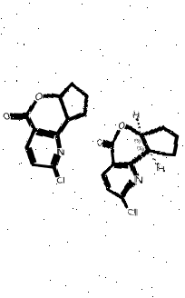 O=C1OC2CCCC2c2nc(Cl)ccc21.O=C1O[C@H]2CCC[C@H]2c2nc(Cl)ccc21